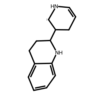 [C]1NC=CCC1C1CCc2ccccc2N1